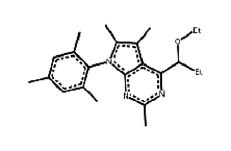 CCOC(CC)c1nc(C)nc2c1c(C)c(C)n2-c1c(C)cc(C)cc1C